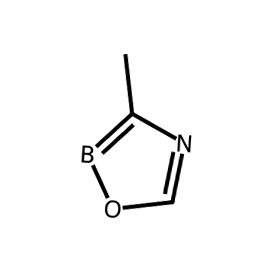 Cc1bocn1